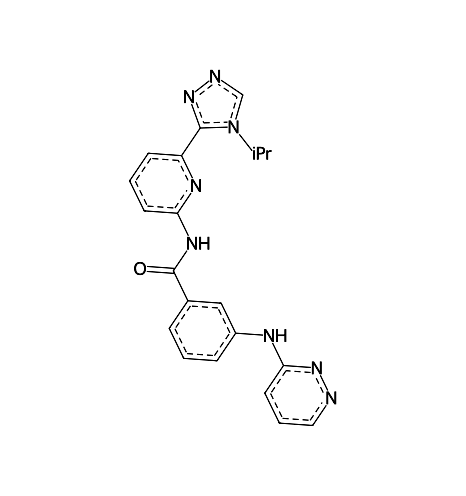 CC(C)n1cnnc1-c1cccc(NC(=O)c2cccc(Nc3cccnn3)c2)n1